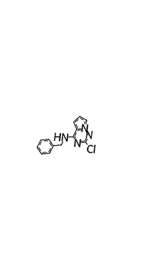 Clc1nc(NCc2ccccc2)c2cccn2n1